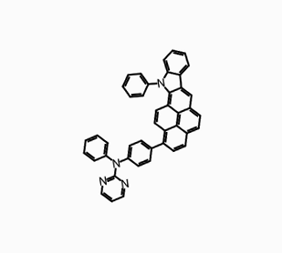 c1ccc(N(c2ccc(-c3ccc4ccc5cc6c7ccccc7n(-c7ccccc7)c6c6ccc3c4c56)cc2)c2ncccn2)cc1